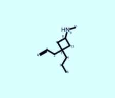 C=CCC1(CCC)CC(NC)C1